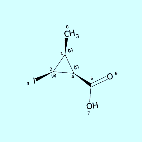 C[C@@H]1[C@H](I)[C@@H]1C(=O)O